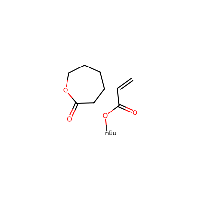 C=CC(=O)OCCCC.O=C1CCCCCO1